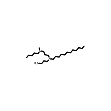 CCCCCCCCCCCCN(CCCN)CCCN(C)CCCCC